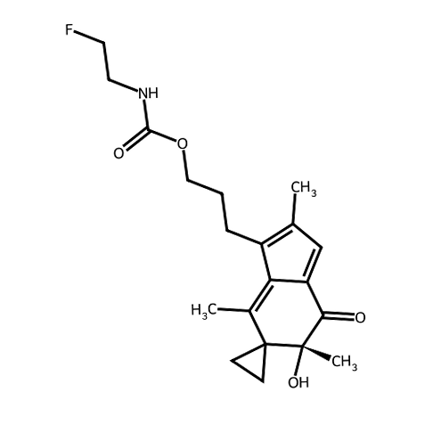 CC1=C(CCCOC(=O)NCCF)C2=C(C)C3(CC3)[C@@](C)(O)C(=O)C2=C1